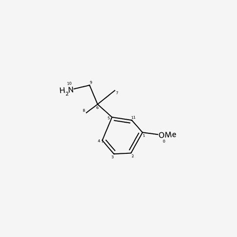 COc1cc[c]c(C(C)(C)CN)c1